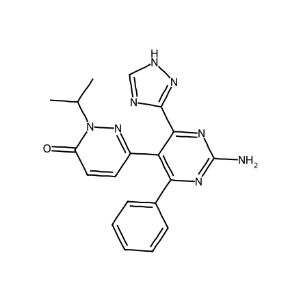 CC(C)n1nc(-c2c(-c3ccccc3)nc(N)nc2-c2nc[nH]n2)ccc1=O